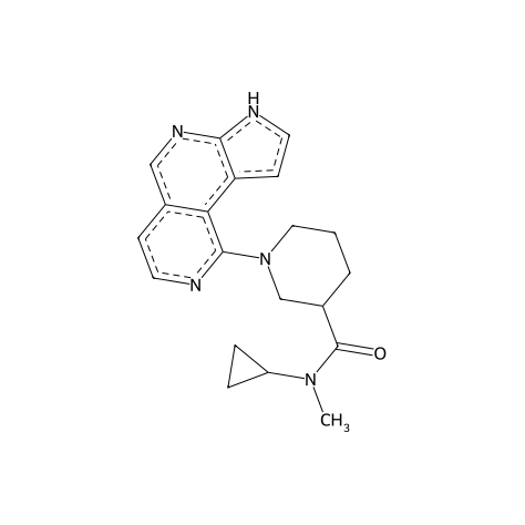 CN(C(=O)C1CCCN(c2nccc3cnc4[nH]ccc4c23)C1)C1CC1